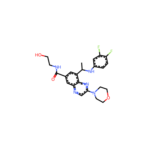 CC(Nc1ccc(F)c(F)c1)c1cc(C(=O)NCCO)cc2ncc(N3CCOCC3)nc12